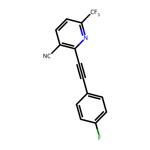 N#Cc1ccc(C(F)(F)F)nc1C#Cc1ccc(F)cc1